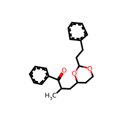 CC(CC1CCOC(CCc2ccccc2)O1)C(=O)c1ccccc1